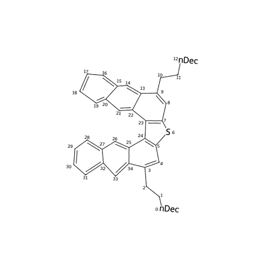 CCCCCCCCCCCCc1cc2sc3cc(CCCCCCCCCCCC)c4cc5ccccc5cc4c3c2c2cc3ccccc3cc12